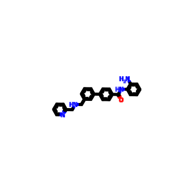 Nc1ccccc1NC(=O)c1ccc(-c2cccc(CNCc3ccccn3)c2)cc1